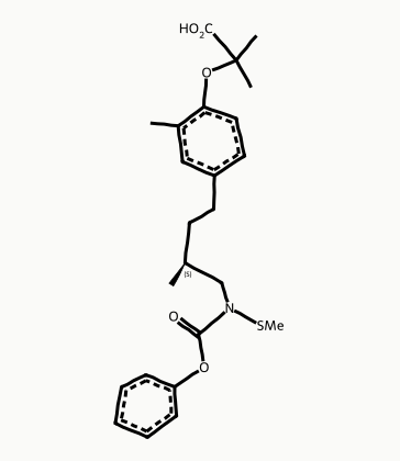 CSN(C[C@@H](C)CCc1ccc(OC(C)(C)C(=O)O)c(C)c1)C(=O)Oc1ccccc1